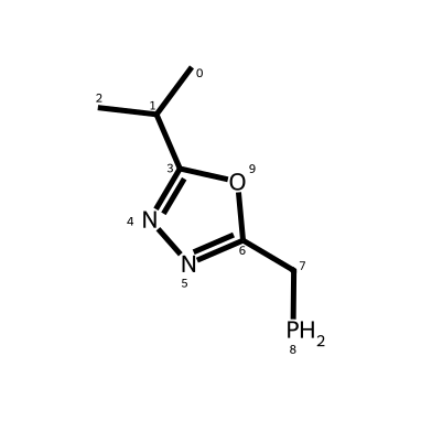 CC(C)c1nnc(CP)o1